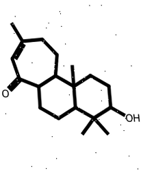 CC1=CC(=O)C2CCC3C(C)(C)C(O)CCC3(C)C2CC1